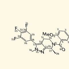 COc1ccccc1C(=O)N1CCc2c(nn(C)c2-c2cc(F)c(F)c(F)c2)[C@@H]1C